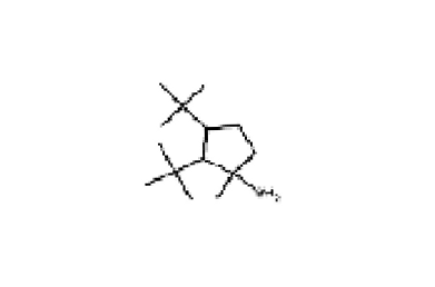 BC1(C)CCC(C(C)(C)C)C1C(C)(C)C